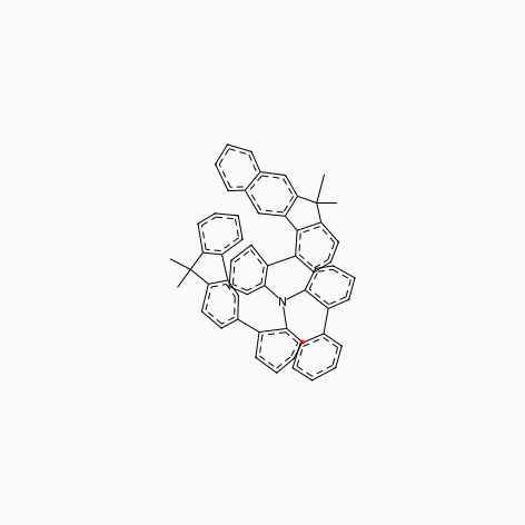 CC1(C)c2ccccc2-c2cc(-c3ccccc3N(c3ccccc3-c3ccccc3)c3ccccc3-c3cccc4c3-c3cc5ccccc5cc3C4(C)C)ccc21